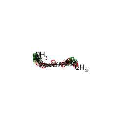 CCOc1ccc(C(F)(F)Oc2ccc(OCCCCCCC(=O)CCCCCCOc3ccc(OC(F)(F)c4ccc(C)c(F)c4F)cc3)cc2)c(F)c1F